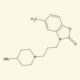 CCCCC1CCN(CCCn2c(=O)oc3ccc(C)cc32)CC1